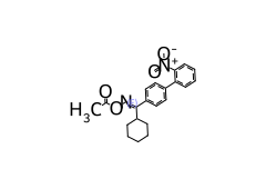 CC(=O)O/N=C(/c1ccc(-c2ccccc2[N+](=O)[O-])cc1)C1CCCCC1